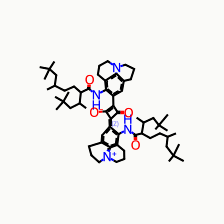 CC(CCC(C(=O)Nc1c(C2=C([O-])/C(=c3\cc4c5c(c3NC(=O)C(CCC(C)CC(C)(C)C)C(C)CC(C)(C)C)CCC[N+]=5CCC4)C2=O)cc2c3c1CCCN3CCC2)C(C)CC(C)(C)C)CC(C)(C)C